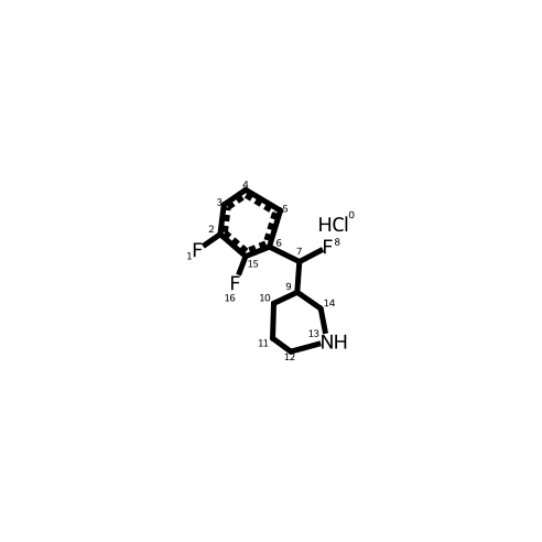 Cl.Fc1cccc(C(F)C2CCCNC2)c1F